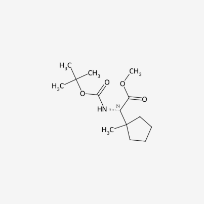 COC(=O)[C@@H](NC(=O)OC(C)(C)C)C1(C)CCCC1